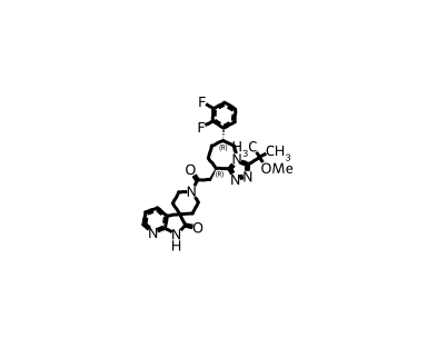 COC(C)(C)c1nnc2n1C[C@@H](c1cccc(F)c1F)CC[C@@H]2CC(=O)N1CCC2(CC1)C(=O)Nc1ncccc12